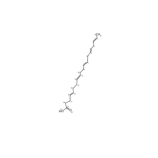 CC=CCC=CCC=CCCC=CCCC=CCCC(=O)O